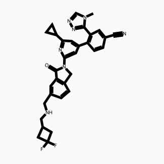 Cn1cnnc1-c1cc(C#N)ccc1-c1cc(C2CC2)nc(N2Cc3ccc(CNCC4CC(F)(F)C4)cc3C2=O)c1